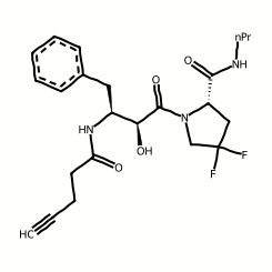 C#CCCC(=O)N[C@@H](Cc1ccccc1)[C@H](O)C(=O)N1CC(F)(F)C[C@H]1C(=O)NCCC